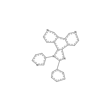 c1ccc(-c2nc3c4ccncc4c4cnccc4c3n2-c2cccnc2)cc1